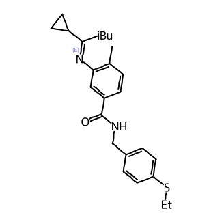 CCSc1ccc(CNC(=O)c2ccc(C)c(/N=C(\C(C)CC)C3CC3)c2)cc1